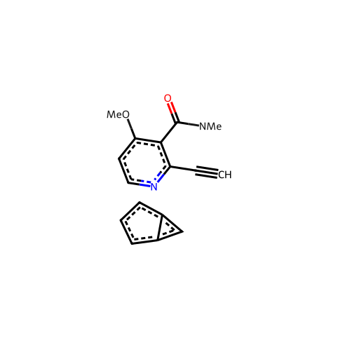 C#Cc1nccc(OC)c1C(=O)NC.c1cc2cc-2c1